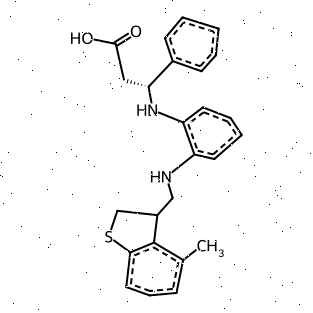 Cc1cccc2c1C(CNc1ccccc1N[C@H](CC(=O)O)c1ccccc1)CS2